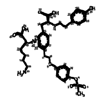 CS(=O)(=O)Oc1ccc(OCCc2ccc(CC(SCCc3ccc(O)cc3)C(=O)O)cc2)cc1.NCCCC[C@H](N)C(=O)O